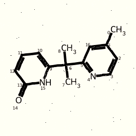 Cc1ccnc(C(C)(C)c2cccc(=O)[nH]2)c1